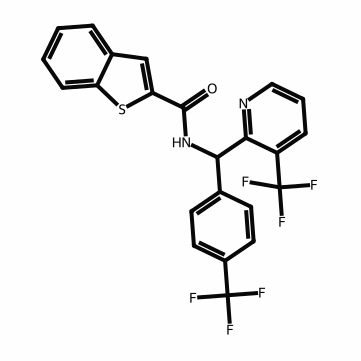 O=C(NC(c1ccc(C(F)(F)F)cc1)c1ncccc1C(F)(F)F)c1cc2ccccc2s1